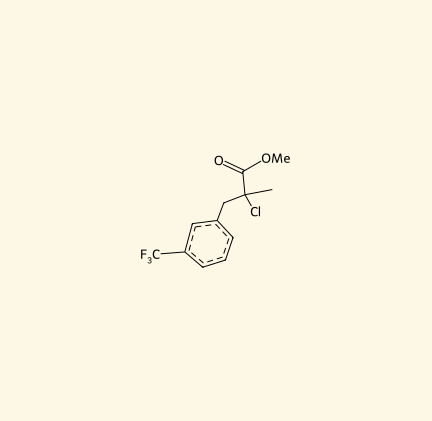 COC(=O)C(C)(Cl)Cc1cccc(C(F)(F)F)c1